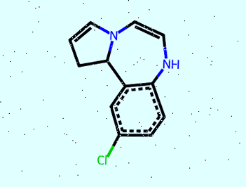 Clc1ccc2c(c1)C1CC=CN1C=CN2